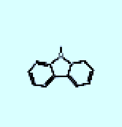 IN1c2ccccc2C2=CC=CCC21